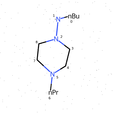 CCCC[N]N1CCN(CCC)CC1